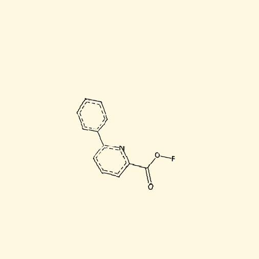 O=C(OF)c1cccc(-c2ccccc2)n1